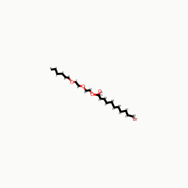 CCCCCCOCCOCCOC(=O)CCCCCCCCCCBr